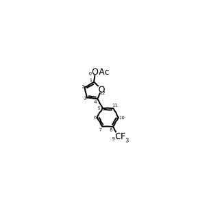 CC(=O)Oc1ccc(-c2ccc(C(F)(F)F)cc2)o1